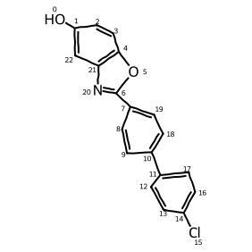 Oc1ccc2oc(-c3ccc(-c4ccc(Cl)cc4)cc3)nc2c1